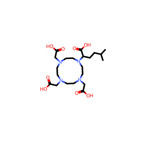 CC(C)CCC(C(=O)O)N1CCN(CC(=O)O)CCN(CC(=O)O)CCN(CC(=O)O)CC1